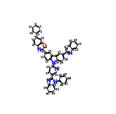 c1ccc(-c2ccc3nc(-c4ccc5c(c4)c4cc(-c6nc7ccccc7s6)ccc4n5-c4ccc(-c5nc6ccccc6n5-c5ccccc5)cn4)oc3c2)cc1